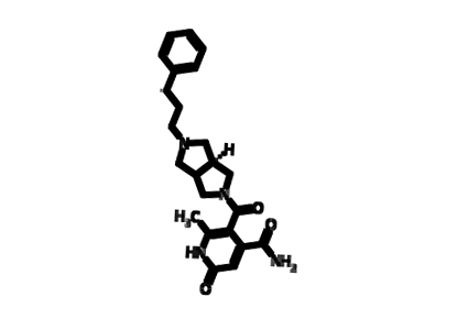 Cc1[nH]c(=O)cc(C(N)=O)c1C(=O)N1CC2CN(CC[CH]c3ccccc3)C[C@H]2C1